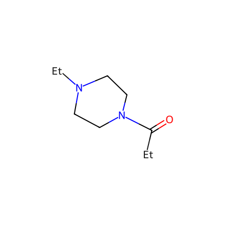 [CH2]CN1CCN(C(=O)CC)CC1